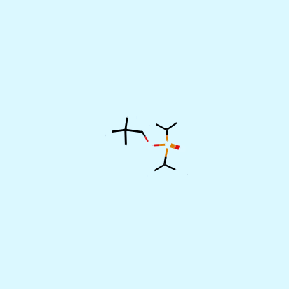 CC(C)P(=O)(OCC(C)(C)C)C(C)C